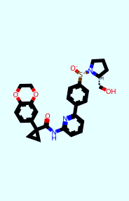 O=C(Nc1cccc(-c2ccc([S+]([O-])N3CCC[C@@H]3CO)cc2)n1)C1(c2ccc3c(c2)OCCO3)CC1